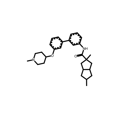 CC1CC2CC(C)(C(=O)Nc3cccc(-c4cccc(OC5CCN(C)CC5)c4)c3)CC2C1